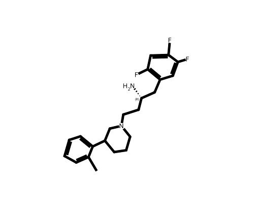 Cc1ccccc1C1CCCN(CC[C@H](N)Cc2cc(F)c(F)cc2F)C1